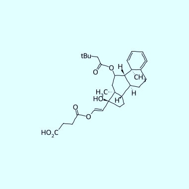 CC(C)(C)CC(=O)OC1C[C@@]2(C)[C@@H](CC[C@]2(O)C=COC(=O)CCC(=O)O)[C@@H]2CCC3=C=CC=C[C@]3(C)[C@@H]12